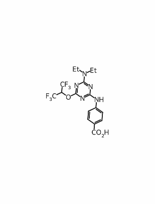 CCN(CC)c1nc(Nc2ccc(C(=O)O)cc2)nc(OC(C(F)(F)F)C(F)(F)F)n1